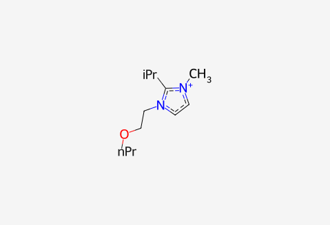 CCCOCCn1cc[n+](C)c1C(C)C